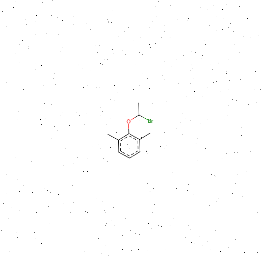 Cc1cccc(C)c1OC(C)Br